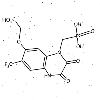 O=C(O)COc1cc2c(cc1C(F)(F)F)[nH]c(=O)c(=O)n2CP(=O)(O)O